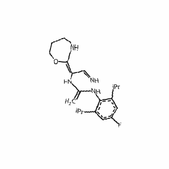 C=C(N/C(C=N)=C1/NCCCO1)Nc1c(C(C)C)cc(F)cc1C(C)C